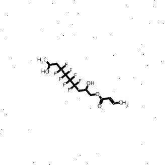 CC=CC(=O)OCC(O)CC(F)(F)C(F)(F)C(F)(F)C(F)(F)CC(C)O